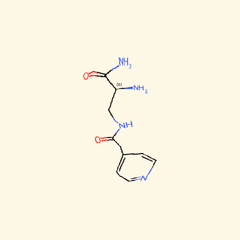 NC(=O)[C@@H](N)CNC(=O)c1ccncc1